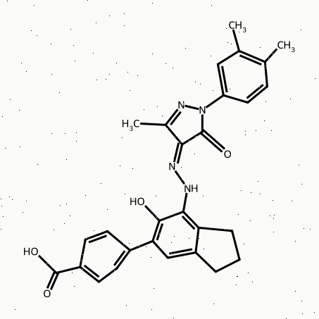 CC1=NN(c2ccc(C)c(C)c2)C(=O)/C1=N\Nc1c(O)c(-c2ccc(C(=O)O)cc2)cc2c1CCC2